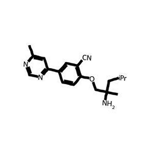 Cc1cc(-c2ccc(OCC(C)(N)CC(C)C)c(C#N)c2)ncn1